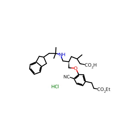 CCOC(=O)CCc1ccc(C#N)c(OC[C@@H](CNC(C)(C)CC2Cc3ccccc3C2)CC(C)CC(=O)O)c1.Cl